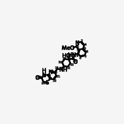 COc1nccc2cccc(NC(=O)[C@]3(O)CC[C@@H](NCc4ccc5c(n4)NC(=O)CS5)CC3)c12